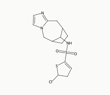 O=S(=O)(NC1C2CCC1Cn1ccnc1C2)C1=CCC(Cl)S1